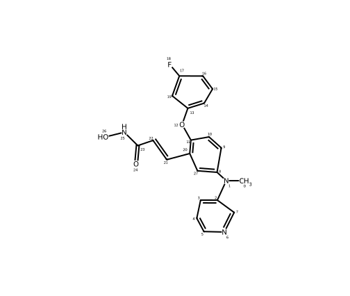 CN(c1cccnc1)c1ccc(Oc2cccc(F)c2)c(/C=C/C(=O)NO)c1